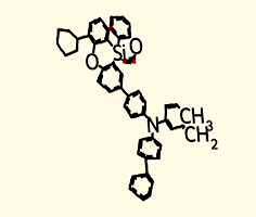 C=C/C=C(\C=C/C)N(c1ccc(-c2ccccc2)cc1)c1ccc(-c2ccc3c(c2)[Si]2(c4ccccc4Oc4ccccc42)c2cccc(C4CCCCC4)c2O3)cc1